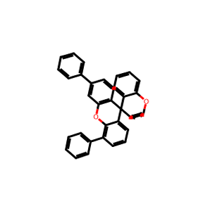 c1ccc(-c2ccc3c(c2)Oc2c(-c4ccccc4)cccc2C32c3ccccc3Oc3ccccc32)cc1